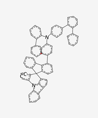 c1ccc(-c2ccccc2-c2ccc(N(c3ccc(-c4cccc5c4-c4ccccc4C54c5ccccc5-n5c6ccccc6c6cccc4c65)cc3)c3ccccc3-c3ccccc3)cc2)cc1